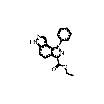 CCOC(=O)c1nn(-c2ccccc2)c2c1ccc1[nH]ncc12